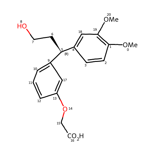 COc1ccc([C@H](CCO)c2cccc(OCC(=O)O)c2)cc1OC